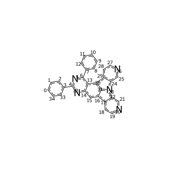 c1ccc(-c2nc(-c3ccccc3)c3c(cc4c5ccncc5n5c6cnccc6c3c45)n2)cc1